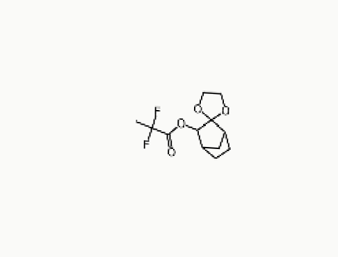 CC(F)(F)C(=O)OC1C2CCC(C2)C12OCCO2